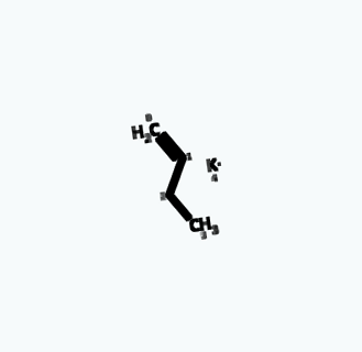 C=CCC.[K]